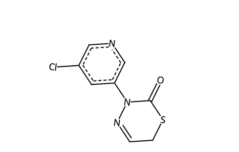 O=C1SCC=NN1c1cncc(Cl)c1